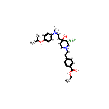 CCOC(=O)c1ccc(CCN2CCC(O)(CCN(C)c3ccc(OC(C)C)cc3)CC2)cc1.Cl.Cl